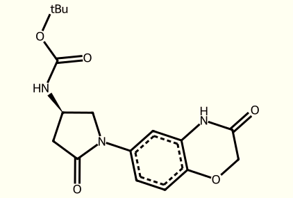 CC(C)(C)OC(=O)N[C@@H]1CC(=O)N(c2ccc3c(c2)NC(=O)CO3)C1